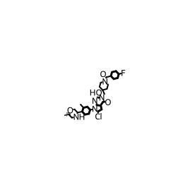 Cc1cc(-n2c(Cl)cc3c(=O)n(CC4(O)CCN(C(=O)c5ccc(F)cc5)CC4)cnc32)ccc1C1CO[C@H](C)CN1